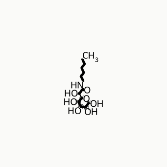 CCCCCCCNC(=O)C(O)[C@H]1O[C@H](O)[C@H](O)[C@@H](O)[C@@H]1O